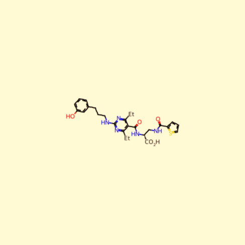 CCc1nc(NCCCc2cccc(O)c2)nc(CC)c1C(=O)N[C@@H](CNC(=O)c1cccs1)C(=O)O